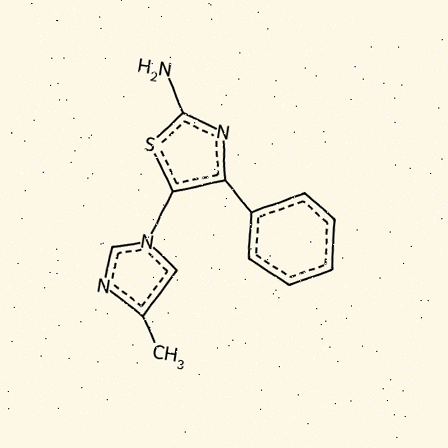 Cc1cn(-c2sc(N)nc2-c2ccccc2)cn1